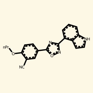 CCCOc1ccc(-c2nc(-c3cccc4[nH]ccc34)no2)cc1C#N